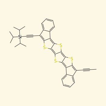 CC#CC1=c2sc3c(sc4c5sc6c(c5sc34)-c3ccccc3C=6C#C[Si](C(C)C)(C(C)C)C(C)C)c2-c2ccccc21